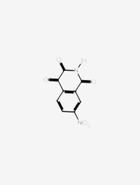 CCN1C(=O)C(=O)c2ccc([N+](=O)[O-])cc2C1=O